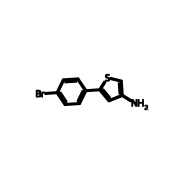 Nc1csc(-c2ccc(Br)cc2)c1